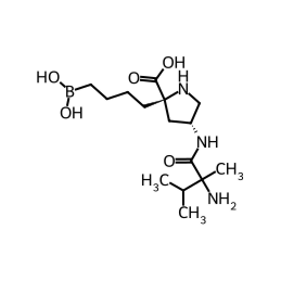 CC(C)C(C)(N)C(=O)N[C@H]1CN[C@@](CCCCB(O)O)(C(=O)O)C1